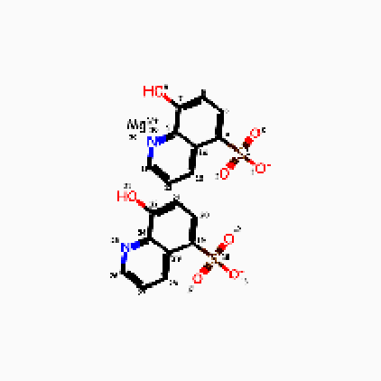 O=S(=O)([O-])c1ccc(O)c2ncccc12.O=S(=O)([O-])c1ccc(O)c2ncccc12.[Mg+2]